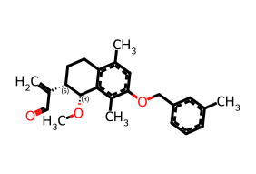 C=C(C=O)[C@@H]1CCc2c(C)cc(OCc3cccc(C)c3)c(C)c2[C@@H]1OC